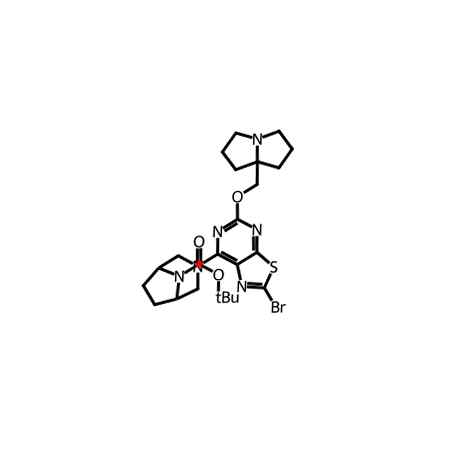 CC(C)(C)OC(=O)N1C2CCC1CN(c1nc(OCC34CCCN3CCC4)nc3sc(Br)nc13)C2